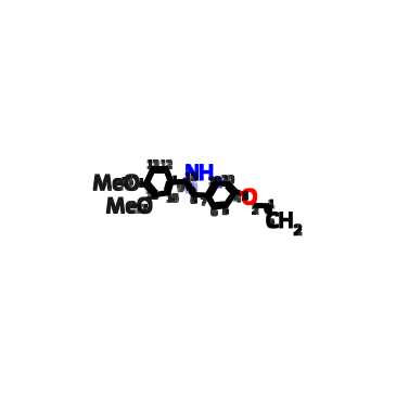 C=CCOc1ccc(/C=C(\N)c2ccc(OC)c(OC)c2)cc1